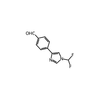 O=Cc1ccc(-c2cn(C(F)F)cn2)cc1